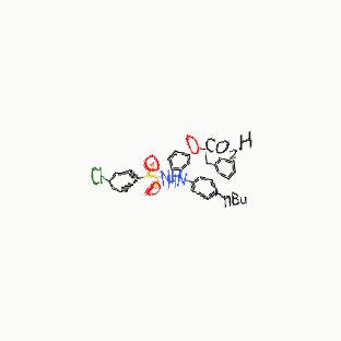 CCCCc1ccc(Nc2cc(OC(Cc3ccccc3)C(=O)O)ccc2NS(=O)(=O)c2ccc(Cl)cc2)cc1